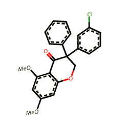 COc1cc(OC)c2c(c1)OCC(c1ccccc1)(c1cccc(Cl)c1)C2=O